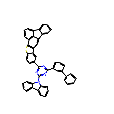 c1ccc(-c2cccc(-c3nc(-c4ccc5sc6c7cccc8c7c(cc6c5c4)-c4ccccc4-8)nc(-n4c5ccccc5c5ccccc54)n3)c2)cc1